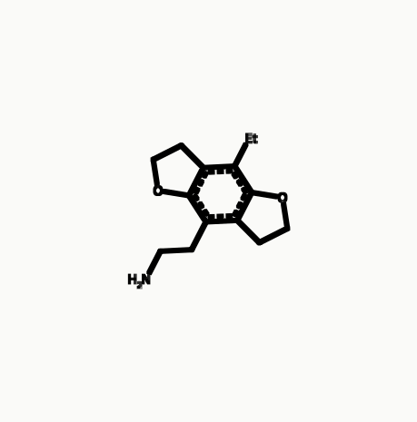 CCc1c2c(c(CCN)c3c1OCC3)OCC2